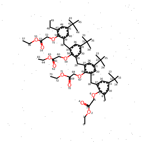 CCOC(=O)COc1c(C)cc(C(C)(C)C)cc1Cc1cc(C(C)(C)C)cc(Cc2cc(C(C)(C)C)cc(Cc3cc(C(C)(C)C)cc(CC)c3OCC(=O)OCC)c2OCC(=O)OCC)c1OCC(=O)OCC